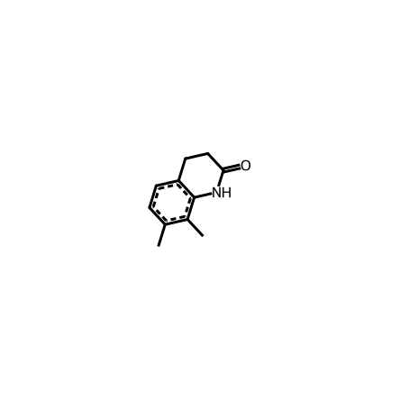 Cc1ccc2c(c1C)NC(=O)CC2